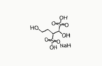 O=S(=O)(O)C(O)C(CCO)S(=O)(=O)O.[NaH]